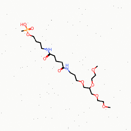 COCCOCC(COCCCNC(=O)CCCC(=O)NCCCCOP(C)(=O)O)OCCOC